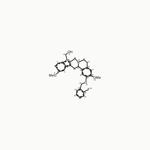 COc1ccc2c(c1)c1c(n2CO)CN2CCc3cc(OC)c(OCc4ccccc4F)cc3C2C1